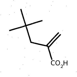 C=C(CC(C)(C)C)C(=O)O